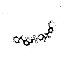 Cc1c(CCS(=O)(=O)N2CCC3(CC2)N=C(c2cccc(OC(F)(F)F)c2)NC3=O)cccc1C(=O)N1CCOCC1